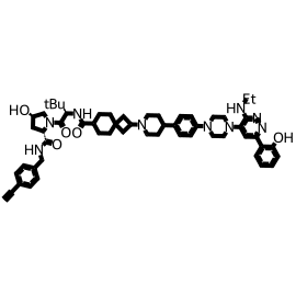 C#Cc1ccc(CNC(=O)[C@@H]2C[C@@H](O)CN2C(=O)[C@@H](NC(=O)C2CCC3(CC2)CC(N2CCC(c4ccc(N5CCN(c6cc(-c7ccccc7O)nnc6NCC)CC5)cc4)CC2)C3)C(C)(C)C)cc1